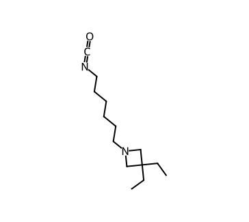 CCC1(CC)CN(CCCCCCN=C=O)C1